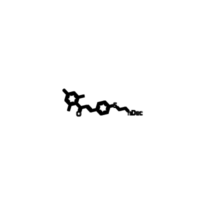 CCCCCCCCCCCCSc1ccc(C=CC(=O)c2c(C)cc(C)cc2C)cc1